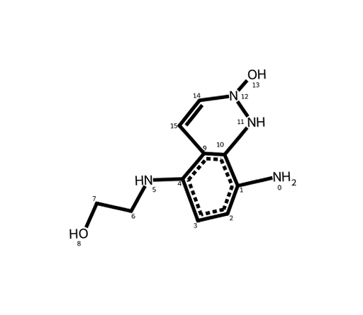 Nc1ccc(NCCO)c2c1NN(O)C=C2